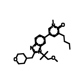 CCCCc1cc(-c2ccc3nc(CC4CCOCC4)n(C(C)(C)COC)c3c2)cn(C)c1=O